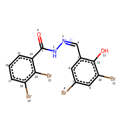 O=C(N/N=C\c1cc(Br)cc(Br)c1O)c1cccc(Br)c1Br